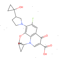 COc1c(N2CCC(C3(O)CC3)C2)c(F)cc2c(=O)c(C(=O)O)cn(C3CC3)c12